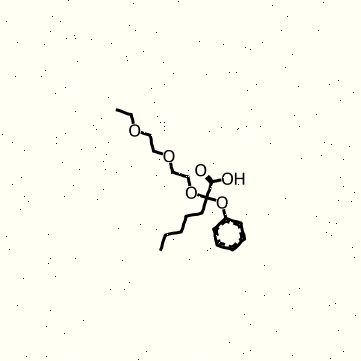 CCCCCC(OCCOCCOCC)(Oc1ccccc1)C(=O)O